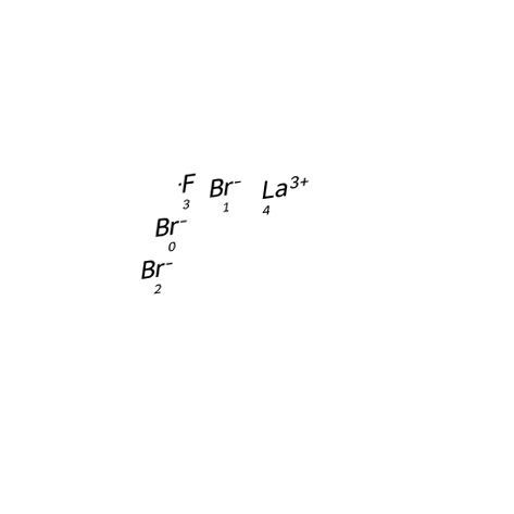 [Br-].[Br-].[Br-].[F].[La+3]